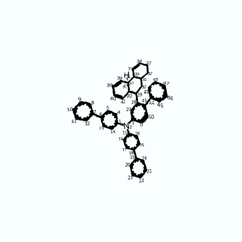 c1c(N(c2ccc(-c3ccccc3)cc2)c2ccc(-c3ccccc3)cc2)cc(C2CC3CCC=CC3[C@@H]3C=CC=CC23)c(-c2ccccc2)c#1